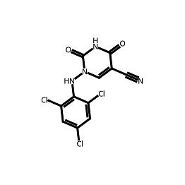 N#Cc1cn(Nc2c(Cl)cc(Cl)cc2Cl)c(=O)[nH]c1=O